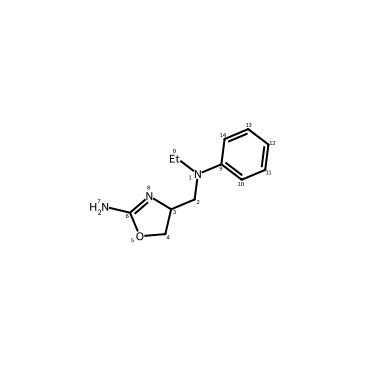 CCN(CC1COC(N)=N1)c1ccccc1